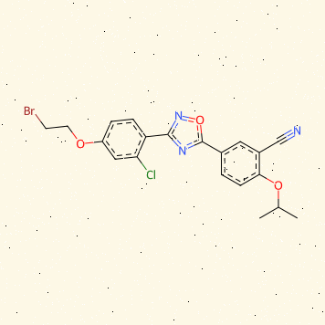 CC(C)Oc1ccc(-c2nc(-c3ccc(OCCBr)cc3Cl)no2)cc1C#N